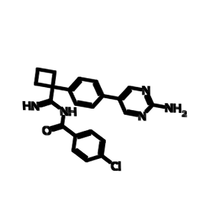 N=C(NC(=O)c1ccc(Cl)cc1)C1(c2ccc(-c3cnc(N)nc3)cc2)CCC1